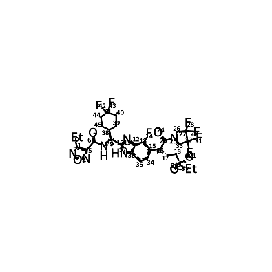 CCc1nonc1C(=O)N[C@H](c1nc2c(F)c([C@@H](CCS(=O)(=O)CC)C(=O)N3CC(F)(F)C(F)(F)C3)ccc2[nH]1)C1CCC(F)(F)CC1